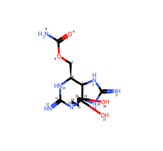 N=C1NC2[C@H](COC(N)=O)NC(=N)N3CCC(O)(O)[C@]23N1